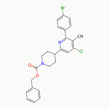 N#Cc1c(Cl)cc(C2CCN(C(=O)OCc3ccccc3)CC2)nc1-c1ccc(Br)cc1